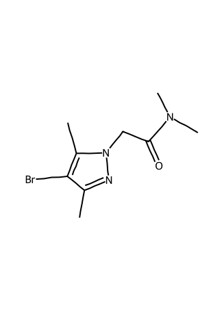 Cc1nn(CC(=O)N(C)C)c(C)c1Br